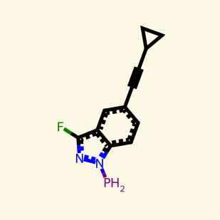 Fc1nn(P)c2ccc(C#CC3CC3)cc12